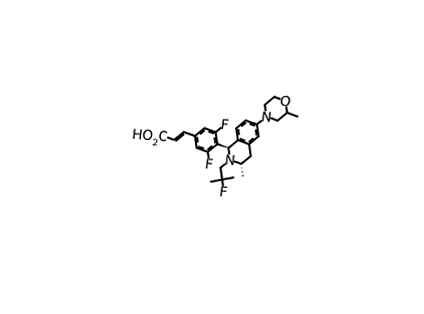 CC1CN(c2ccc3c(c2)C[C@H](C)N(CC(C)(C)F)[C@H]3c2c(F)cc(/C=C/C(=O)O)cc2F)CCO1